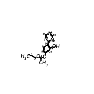 CCCOC(C)Oc1ccc(-c2ncncn2)c(O)c1